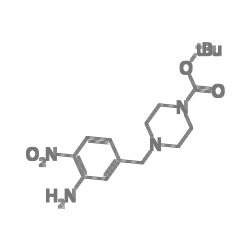 CC(C)(C)OC(=O)N1CCN(Cc2ccc([N+](=O)[O-])c(N)c2)CC1